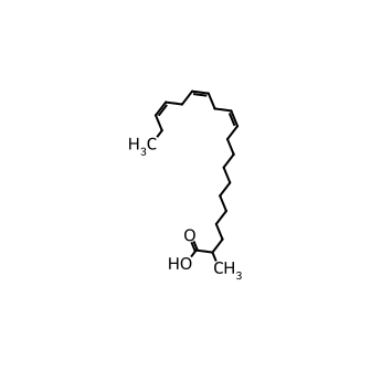 CC/C=C\C/C=C\C/C=C\CCCCCCCCC(C)C(=O)O